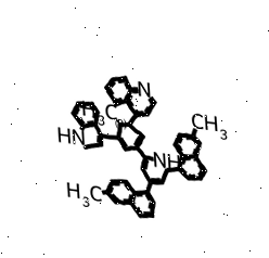 Cc1ccc2c(C3=CC(c4cccc5cc(C)ccc45)NC(C4=CC(c5ccnc6ccccc56)[C@@H](C)C(C5=CCNc6ccccc65)=C4)=C3)cccc2c1